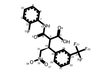 O=C(O)C(C(=O)Nc1ccccc1F)[C@H](C[N+](=O)[O-])c1cccc(C(F)(F)F)c1